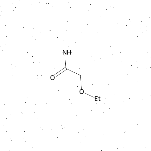 [CH2]COCC([NH])=O